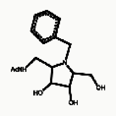 CC(=O)NCC1C(O)C(O)C(CO)N1Cc1ccccc1